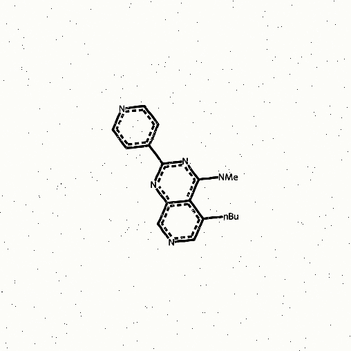 CCCCc1cncc2nc(-c3ccncc3)nc(NC)c12